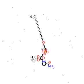 CCCCCCCCCCCCCCCOCCCOP(=O)(OC)OCC1OC([n+]2cccc(C(N)=O)c2)C2OC(C)(C)OC12